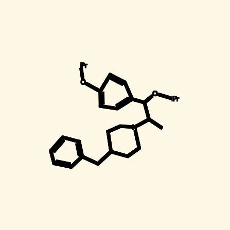 CC(C)Oc1ccc(C(OC(C)C)C(C)N2CCC(Cc3ccccc3)CC2)cc1